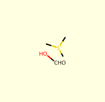 C[S+](C)C.O=[C-]O